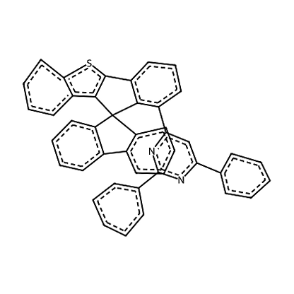 c1ccc(-c2cc(-c3cccc4c3C3(c5ccccc5-c5ccccc53)c3c-4sc4ccccc34)nc(-c3ccccc3)n2)cc1